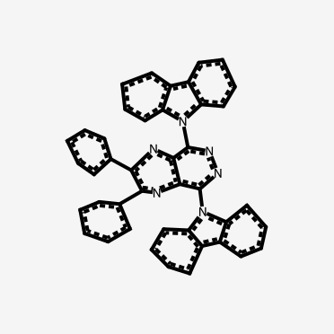 c1ccc(-c2nc3c(-n4c5ccccc5c5ccccc54)nnc(-n4c5ccccc5c5ccccc54)c3nc2-c2ccccc2)cc1